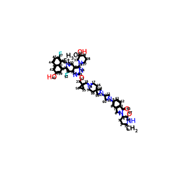 C=C1CCC(N2Cc3cc(N4CC(N5CC6(CCN(CC7(COc8nc(N9CCC[C@@](C)(O)C9)c9cnc(-c%10cc(O)cc%11ccc(F)c(CC)c%10%11)c(F)c9n8)CC7)CC6)C5)C4)ccc3C2=O)C(=O)N1